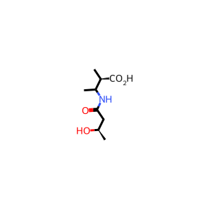 CC(NC(=O)C[C@@H](C)O)[C@@H](C)C(=O)O